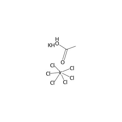 CC(=O)O.[Cl][Ir]([Cl])([Cl])([Cl])([Cl])[Cl].[KH]